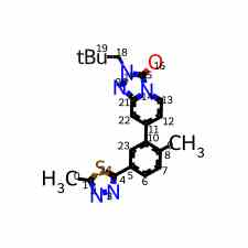 Cc1nnc(-c2ccc(C)c(-c3ccn4c(=O)n(CC(C)(C)C)nc4c3)c2)s1